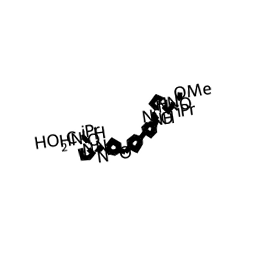 COC(=O)N[C@H](C(=O)N1CCC[C@H]1c1nc2cc(-c3ccc(Oc4ccc5[nH]c([C@@H]6CCCN6C(=O)[C@@H](NC(=O)O)C(C)C)nc5c4)cc3)ccc2[nH]1)C(C)C